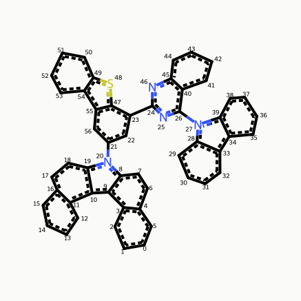 c1ccc2c(c1)ccc1c2c2c3ccccc3ccc2n1-c1cc(-c2nc(-n3c4ccccc4c4ccccc43)c3ccccc3n2)c2sc3ccccc3c2c1